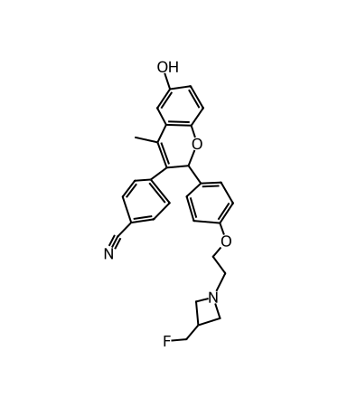 CC1=C(c2ccc(C#N)cc2)C(c2ccc(OCCN3CC(CF)C3)cc2)Oc2ccc(O)cc21